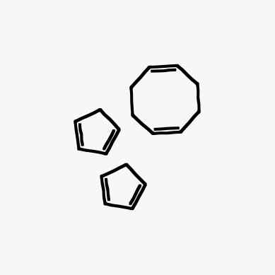 C1=CCC=C1.C1=CCC=C1.C1=CCCC=CCC1